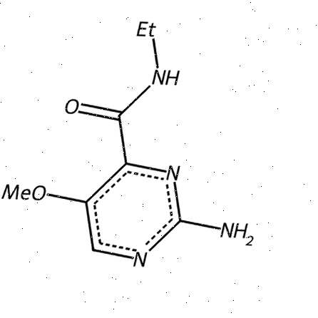 CCNC(=O)c1nc(N)ncc1OC